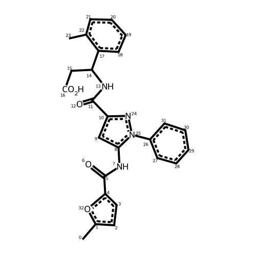 Cc1ccc(C(=O)Nc2cc(C(=O)NC(CC(=O)O)c3ccccc3C)nn2-c2ccccc2)o1